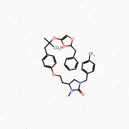 CN1C(=O)N(Cc2ccc(C(F)(F)F)cc2)CC1CCOc1ccc(CC(C)(OC2=COC(Cc3ccccc3)O2)C(=O)O)cc1